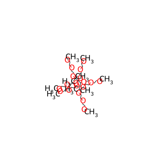 COCCOCCOC(C)(C)C(OCCOCCOC)(OCCOCCOC)C(=O)C(OCCOCCOC)(OCCOCCOC)C(C)(C)OCCOCCOC